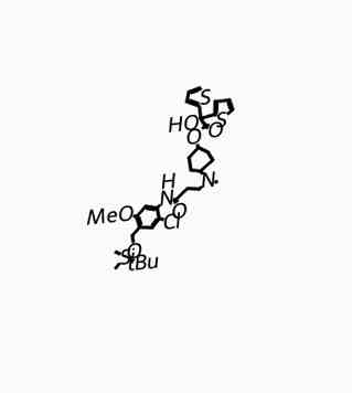 COc1cc(NC(=O)CCN(C)C2CCC(OC(=O)C(O)(c3cccs3)c3cccs3)CC2)c(Cl)cc1CO[Si](C)(C)C(C)(C)C